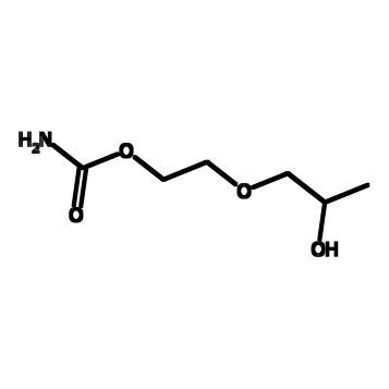 CC(O)COCCOC(N)=O